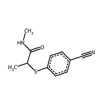 CNC(=O)C(C)Sc1ccc(C#N)cc1